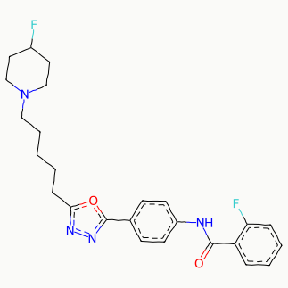 O=C(Nc1ccc(-c2nnc(CCCCCN3CCC(F)CC3)o2)cc1)c1ccccc1F